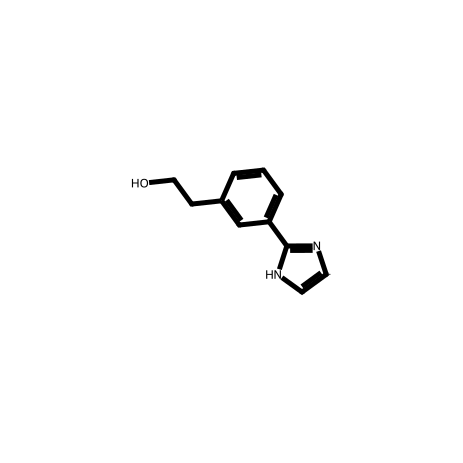 OCCc1cccc(-c2n[c]c[nH]2)c1